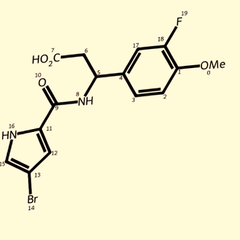 COc1ccc(C(CC(=O)O)NC(=O)c2cc(Br)c[nH]2)cc1F